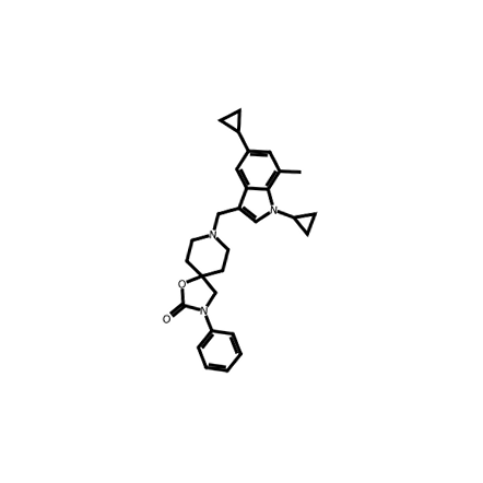 Cc1cc(C2CC2)cc2c(CN3CCC4(CC3)CN(c3ccccc3)C(=O)O4)cn(C3CC3)c12